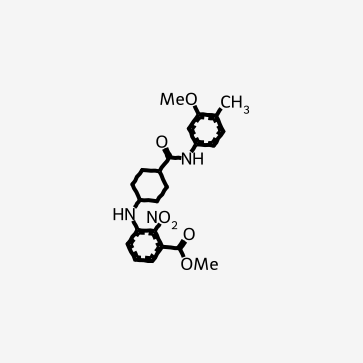 COC(=O)c1cccc(NC2CCC(C(=O)Nc3ccc(C)c(OC)c3)CC2)c1[N+](=O)[O-]